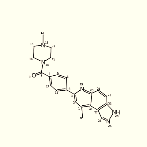 Cc1cc(-c2ccc(C(=O)N3CCN(C)CC3)cc2)nc2ccc3[nH]ncc3c12